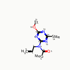 C=CCN(C(=O)OC)c1nc(OCC)nc(SC)n1